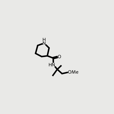 COCC(C)(C)NC(=O)C1CCCNC1